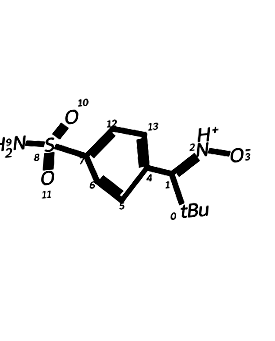 CC(C)(C)C(=[NH+][O-])c1ccc(S(N)(=O)=O)cc1